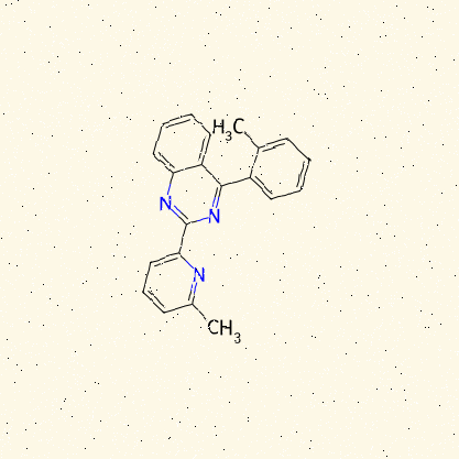 Cc1cccc(-c2nc(-c3ccccc3C)c3ccccc3n2)n1